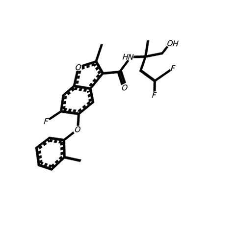 Cc1ccccc1Oc1cc2c(C(=O)NC(C)(CO)CC(F)F)c(C)oc2cc1F